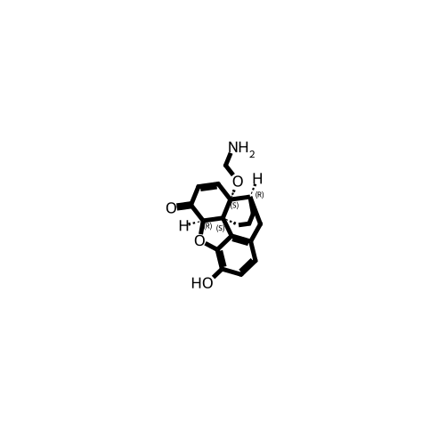 NCO[C@@]12C=CC(=O)[C@@H]3Oc4c(O)ccc5c4[C@@]31CCC[C@@H]2C5